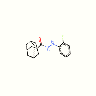 O=C(NNc1ccccc1F)C12CC3CC(CC(C3)C1)C2